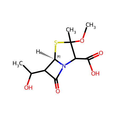 COC1(C)S[C@@H]2C(C(C)O)C(=O)N2C1C(=O)O